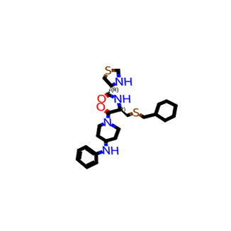 O=C(N[C@@H](CSCC1CCCCC1)C(=O)N1CCC(Nc2ccccc2)CC1)[C@@H]1CSCN1